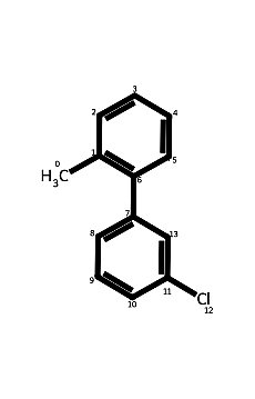 Cc1ccc[c]c1-c1cccc(Cl)c1